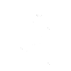 COC(=O)C1=C(c2ccccc2)NC(C)=C(C(=O)OCCC#N)C1c1cccc([N+](=O)[O-])c1